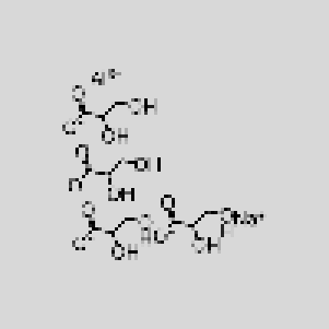 O=C([O-])C(O)CO.O=C([O-])C(O)CO.O=C([O-])C(O)CO.O=C([O-])C(O)CO.[Al+3].[Na+]